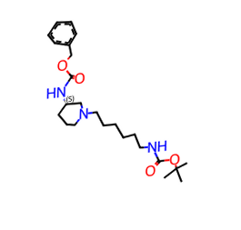 CC(C)(C)OC(=O)NCCCCCCN1CCC[C@H](NC(=O)OCc2ccccc2)C1